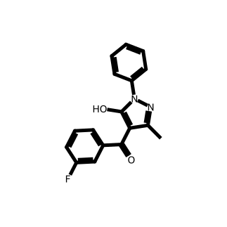 Cc1nn(-c2ccccc2)c(O)c1C(=O)c1cccc(F)c1